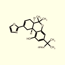 CCCCCCC(C)(C)c1cc(O)c2c(c1)OC(C)(C)[C@@H]1CC=C(c3ncco3)C[C@@H]21